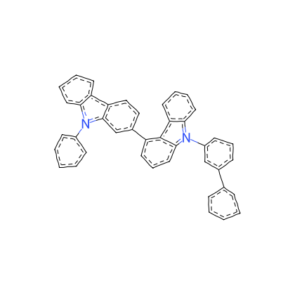 c1ccc(-c2cccc(-n3c4ccccc4c4c(-c5ccc6c7ccccc7n(-c7ccccc7)c6c5)cccc43)c2)cc1